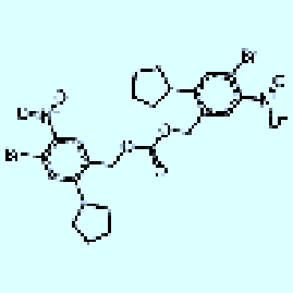 O=C(OCc1cc([N+](=O)[O-])c(Br)cc1C1CCCC1)OCc1cc([N+](=O)[O-])c(Br)cc1C1CCCC1